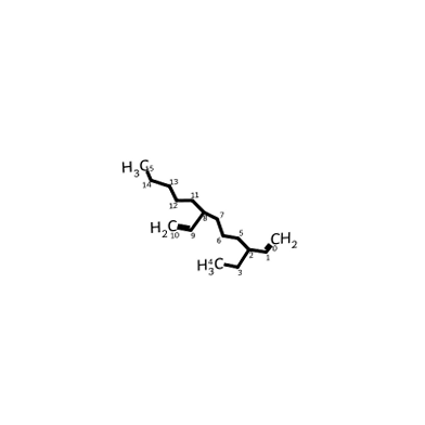 C=CC(CC)CCCC(C=C)CCCCC